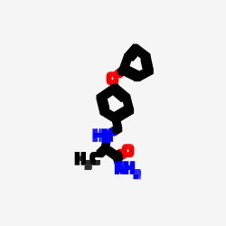 CC(NCc1ccc(Oc2ccccc2)cc1)C(N)=O